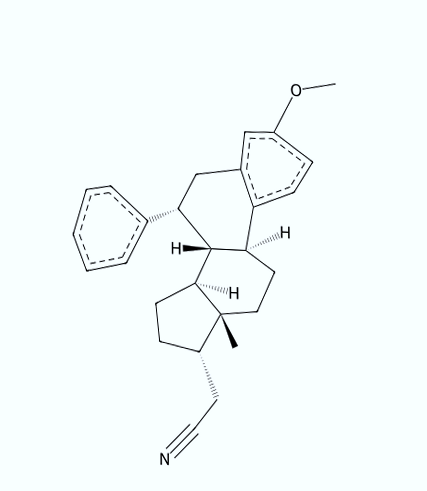 COc1ccc2c(c1)C[C@@H](c1ccccc1)[C@@H]1[C@@H]2CC[C@]2(C)[C@H](CC#N)CC[C@@H]12